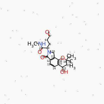 CNC(=O)C(CCC=O)N1Cc2c(ccc3c2OC(C)(C)CC3O)C1=O